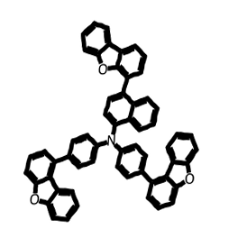 c1ccc2c(c1)oc1c(-c3ccc(N(c4ccc(-c5cccc6oc7ccccc7c56)cc4)c4ccc(-c5cccc6oc7ccccc7c56)cc4)c4ccccc34)cccc12